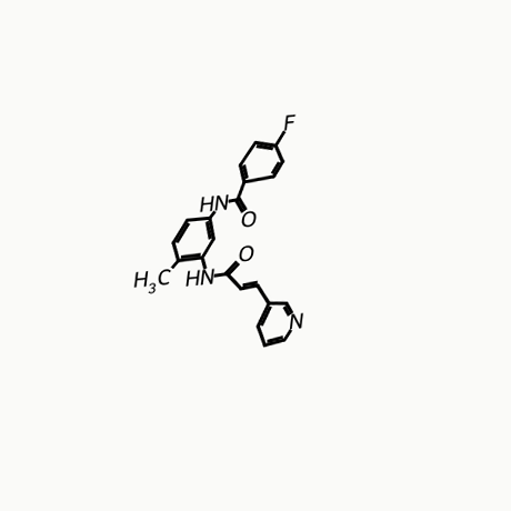 Cc1ccc(NC(=O)c2ccc(F)cc2)cc1NC(=O)/C=C/c1cccnc1